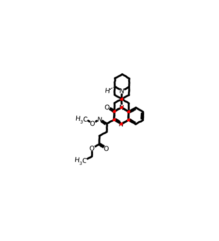 CCOC(=O)CC/C(=N\OC)c1nc2ccccc2n(C2CC3CCC[C@H](C2)N3C2CC3CCCC(C3)C2)c1=O